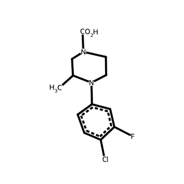 CC1CN(C(=O)O)CCN1c1ccc(Cl)c(F)c1